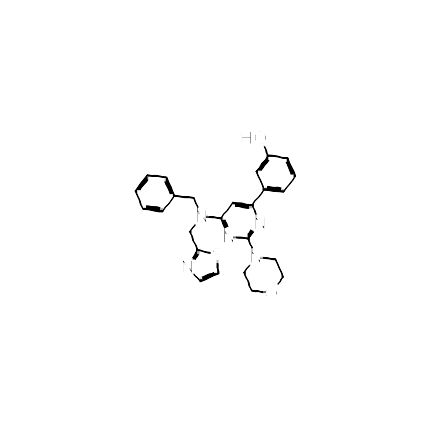 Oc1cccc(-c2cc(N(Cc3ccccc3)Cc3nccs3)nc(N3CCOCC3)n2)c1